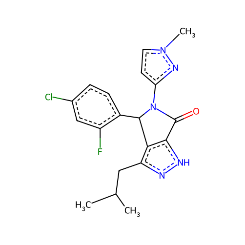 CC(C)Cc1n[nH]c2c1C(c1ccc(Cl)cc1F)N(c1ccn(C)n1)C2=O